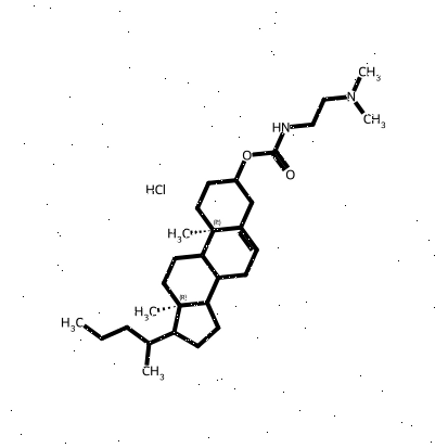 CCCC(C)C1CCC2C3CC=C4CC(OC(=O)NCCN(C)C)CC[C@]4(C)C3CC[C@]12C.Cl